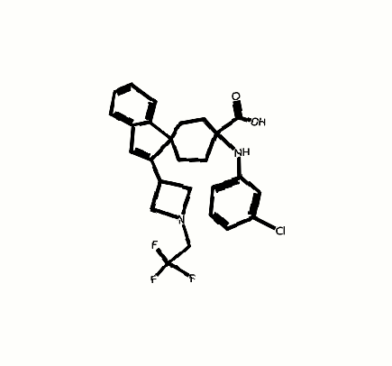 O=C(O)C1(Nc2cccc(Cl)c2)CCC2(CC1)C(C1CN(CC(F)(F)F)C1)=Cc1ccccc12